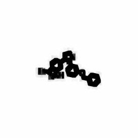 CCc1n[nH]c2cc(-c3ccnn3-c3cccc(OCc4ccccc4)c3)ccc12